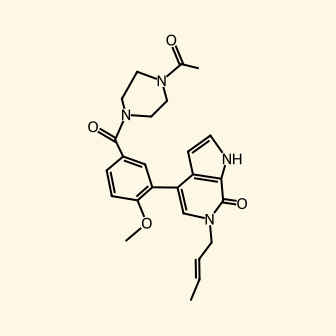 C/C=C/Cn1cc(-c2cc(C(=O)N3CCN(C(C)=O)CC3)ccc2OC)c2cc[nH]c2c1=O